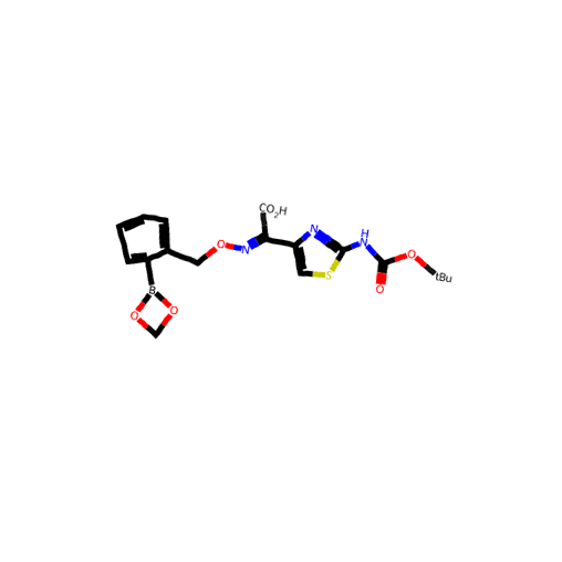 CC(C)(C)OC(=O)Nc1nc(/C(=N/OCc2ccccc2B2OCO2)C(=O)O)cs1